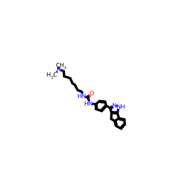 CN(C)CCCCCCCNC(=O)Nc1ccc(-c2n[nH]c3c2Cc2ccccc2-3)cc1